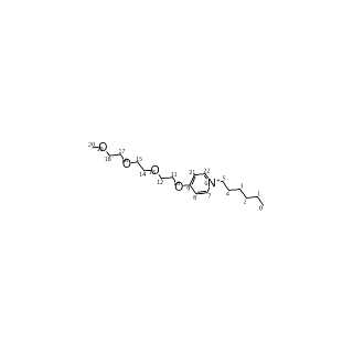 CCCCCC[n+]1ccc(OCCOCCOCCOC)cc1